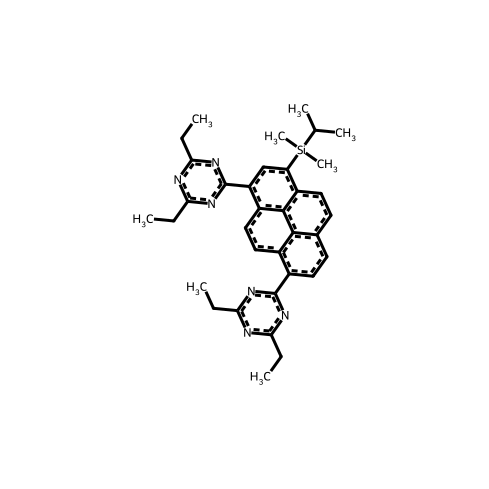 CCc1nc(CC)nc(-c2ccc3ccc4c([Si](C)(C)C(C)C)cc(-c5nc(CC)nc(CC)n5)c5ccc2c3c54)n1